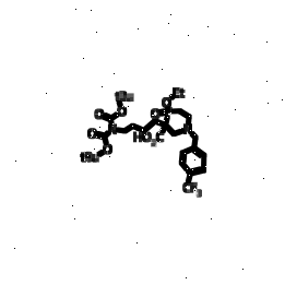 CCOP1(=O)CCN(Cc2ccc(C(F)(F)F)cc2)CC1(CCCCN(C(=O)OC(C)(C)C)C(=O)OC(C)(C)C)C(=O)O